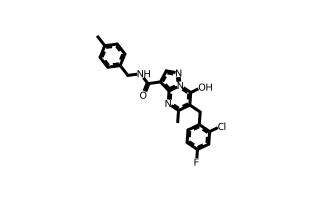 Cc1ccc(CNC(=O)c2cnn3c(O)c(Cc4ccc(F)cc4Cl)c(C)nc23)cc1